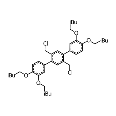 CCC(C)COc1ccc(-c2cc(CCl)c(-c3ccc(OCC(C)CC)c(OCC(C)CC)c3)cc2CCl)cc1OCC(C)CC